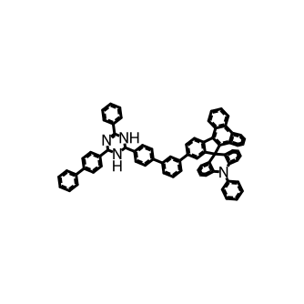 c1ccc(C2=NC(c3ccc(-c4ccccc4)cc3)NC(c3ccc(-c4cccc(-c5ccc6c(c5)C5(c7ccccc7N(c7ccccc7)c7ccccc75)c5c-6c6ccccc6c6ccccc56)c4)cc3)N2)cc1